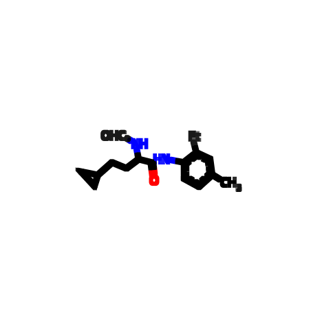 CCc1cc(C)ccc1NC(=O)C(CCC1CC1)NC=O